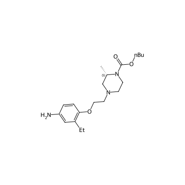 CCCCOC(=O)N1CCN(CCOc2ccc(N)cc2CC)C[C@@H]1C